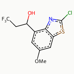 COc1cc(C(O)CC(F)(F)F)c2nc(Cl)sc2c1